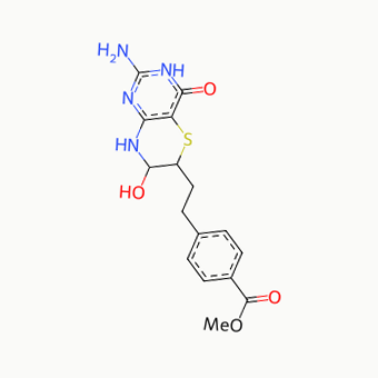 COC(=O)c1ccc(CCC2Sc3c(nc(N)[nH]c3=O)NC2O)cc1